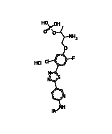 CC(C)Nc1ccc(-c2nnc(-c3cc(F)c(OCC(N)C(C)OP(=O)(O)O)cc3Cl)s2)cn1.Cl